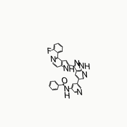 O=C(Nc1cncc(-c2cnc3[nH]nc(-c4cc5c(-c6ccccc6F)nccc5[nH]4)c3c2)c1)c1ccccc1